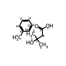 CC(C)(O)CC(=O)O.Cc1ccccc1